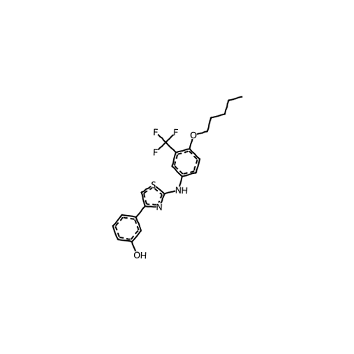 CCCCCOc1ccc(Nc2nc(-c3cccc(O)c3)cs2)cc1C(F)(F)F